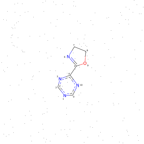 c1ncnc(C2=NCCO2)n1